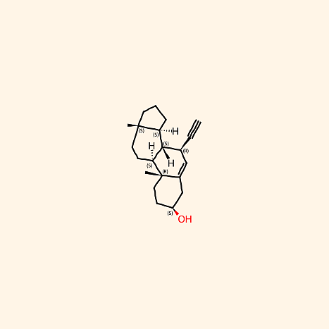 C#C[C@H]1C=C2C[C@@H](O)CC[C@]2(C)[C@H]2CC[C@]3(C)CCC[C@H]3[C@H]12